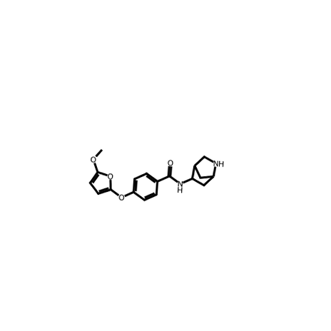 COc1ccc(Oc2ccc(C(=O)NC3CC4CC3CN4)cc2)o1